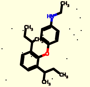 CCNc1ccc(Oc2c(C(C)CC)cccc2C(C)CC)cc1